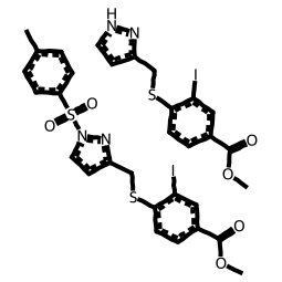 COC(=O)c1ccc(SCc2cc[nH]n2)c(I)c1.COC(=O)c1ccc(SCc2ccn(S(=O)(=O)c3ccc(C)cc3)n2)c(I)c1